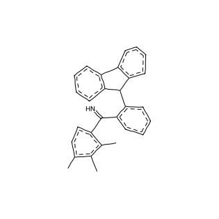 Cc1ccc(C(=N)c2ccccc2C2c3ccccc3-c3ccccc32)c(C)c1C